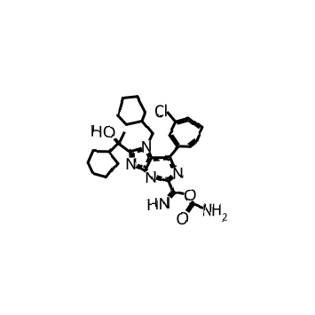 CC(O)(c1nc2nc(C(=N)OC(N)=O)nc(C3=CC(Cl)=C=CC=C3)c2n1CC1CCCCC1)C1CCCCC1